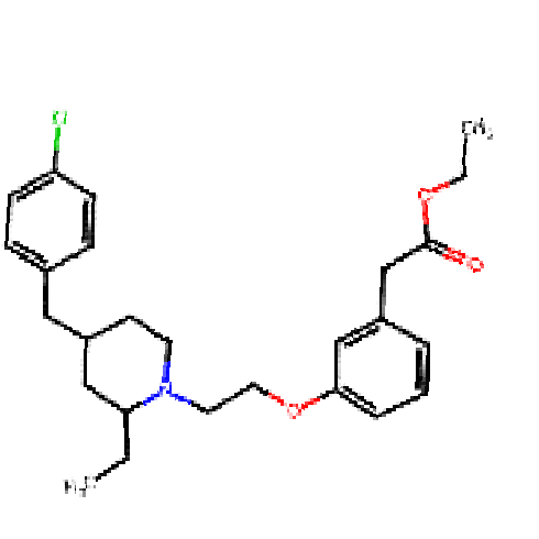 CCOC(=O)Cc1cccc(OCCN2CCC(Cc3ccc(Cl)cc3)CC2CC)c1